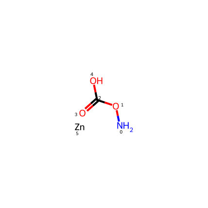 NOC(=O)O.[Zn]